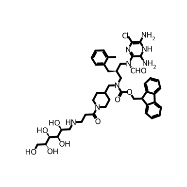 Cc1ccccc1C[C@@H](CN(C=O)C1=NC(Cl)=C(N)NC1N)CN(CC1CCN(C(=O)CCNC[C@H](O)[C@@H](O)[C@H](O)[C@H](O)CO)CC1)C(=O)OCC1c2ccccc2-c2ccccc21